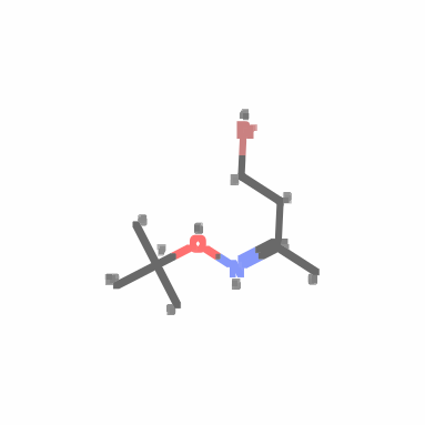 CC(CCBr)=NOC(C)(C)C